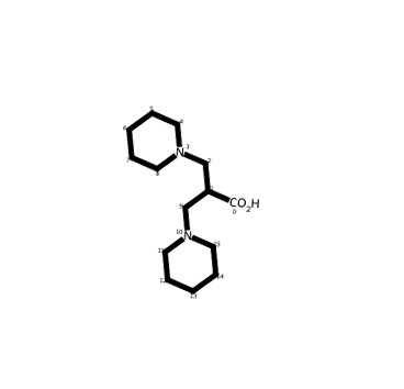 O=C(O)C(CN1CCCCC1)CN1CCCCC1